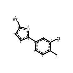 Cc1ccc(-c2ccc(C(C)C)o2)cc1Cl